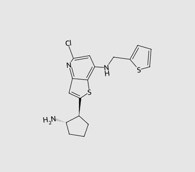 N[C@H]1CCC[C@@H]1c1cc2nc(Cl)cc(NCc3cccs3)c2s1